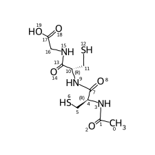 CC(=O)N[C@@H](CS)C(=O)N[C@@H](CS)C(=O)NCC(=O)O